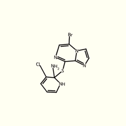 NC1(Sc2ncc(Br)n3ccnc23)NC=CC=C1Cl